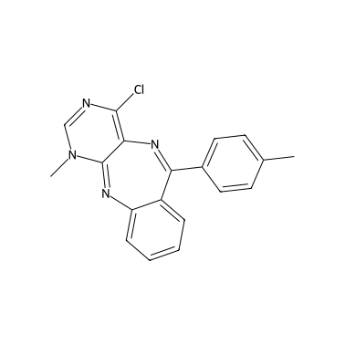 Cc1ccc(C2=NC3=C(Cl)N=CN(C)C3=Nc3ccccc32)cc1